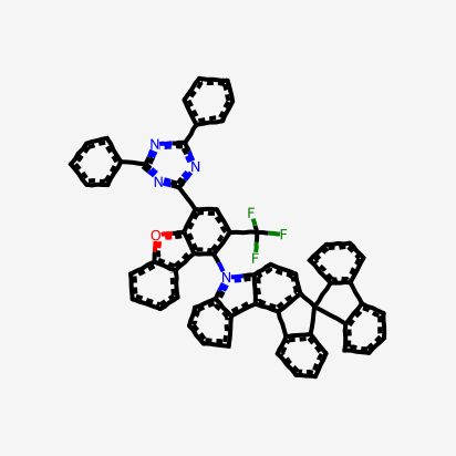 FC(F)(F)c1cc(-c2nc(-c3ccccc3)nc(-c3ccccc3)n2)c2oc3ccccc3c2c1-n1c2ccccc2c2c3c(ccc21)C1(c2ccccc2-c2ccccc21)c1ccccc1-3